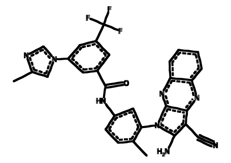 Cc1cn(-c2cc(C(=O)Nc3ccc(C)c(-n4c(N)c(C#N)c5nc6ccccc6nc54)c3)cc(C(F)(F)F)c2)cn1